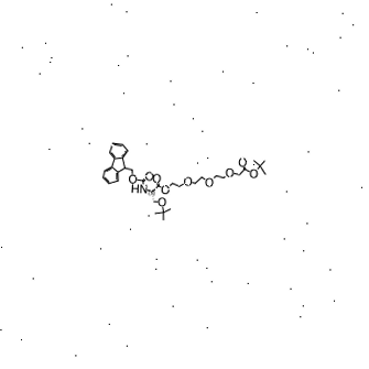 CC(C)(C)OC[C@H](NC(=O)OCC1c2ccccc2-c2ccccc21)C(=O)OCCOCCOCCOCC(=O)OC(C)(C)C